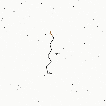 CCCCCCCCCCC[S-].[Na+]